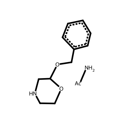 CC(N)=O.c1ccc(COC2CNCCO2)cc1